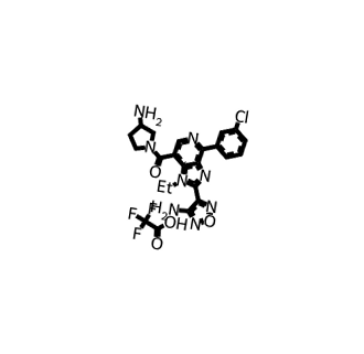 CCn1c(-c2nonc2N)nc2c(-c3cccc(Cl)c3)ncc(C(=O)N3CCC(N)C3)c21.O=C(O)C(F)(F)F